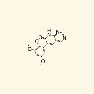 COc1cc(OC)c(Cl)c(-c2cc3cncnc3[nH]c2=O)c1